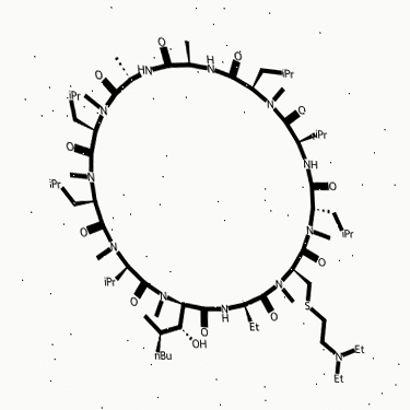 CCCC[C@@H](C)[C@@H](O)[C@@H]1C(=O)N[C@H](CC)C(=O)N(C)[C@H](CSCCN(CC)CC)C(=O)N(C)[C@@H](CC(C)C)C(=O)N[C@H](C(C)C)C(=O)N(C)[C@H](CC(C)C)C(=O)N[C@H](C)C(=O)N[C@@H](C)C(=O)N(C)[C@H](CC(C)C)C(=O)N(C)[C@H](CC(C)C)C(=O)N(C)[C@H](C(C)C)C(=O)N1C